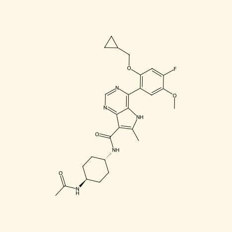 COc1cc(-c2ncnc3c(C(=O)N[C@H]4CC[C@H](NC(C)=O)CC4)c(C)[nH]c23)c(OCC2CC2)cc1F